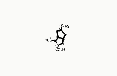 CC(C)(C)C1C2CC(C=O)CC2CN1C(=O)O